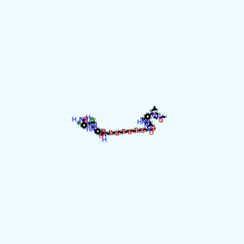 C=CC(=O)N1CCN([C@@H](CC2CC2)c2ccc([C@H](C)Nc3ncc4c(n3)N(CCOCCOCCOCCOCCOCCOCCNS(=O)(=O)c3ccc(Nc5ncc(Br)c(Nc6cccc(F)c6C(N)=O)n5)cc3)C(=O)OC4)cc2)CC1